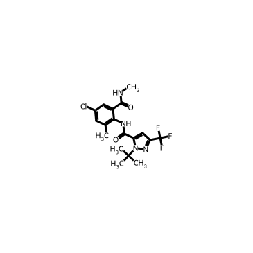 CNC(=O)c1cc(Cl)cc(C)c1NC(=O)c1cc(C(F)(F)F)nn1C(C)(C)C